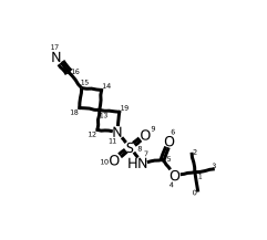 CC(C)(C)OC(=O)NS(=O)(=O)N1CC2(CC(C#N)C2)C1